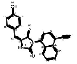 N#Cc1ccc(N2C(=O)N/C(=C/c3ccc(O)cc3)C2=O)c2ccccc12